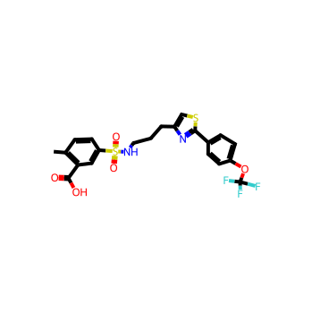 Cc1ccc(S(=O)(=O)NCCCc2csc(-c3ccc(OC(F)(F)F)cc3)n2)cc1C(=O)O